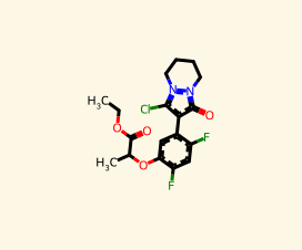 CCOC(=O)C(C)Oc1cc(-c2c(Cl)n3n(c2=O)CCCC3)c(F)cc1F